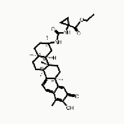 CCOC(=O)C1(NC(=O)N[C@]2(C)CC[C@]3(C)CC[C@]4(C)C5=CC=C6C(=CC(=O)C(O)=C6C)[C@]5(C)CC[C@@]4(C)[C@@H]3C2)CC1